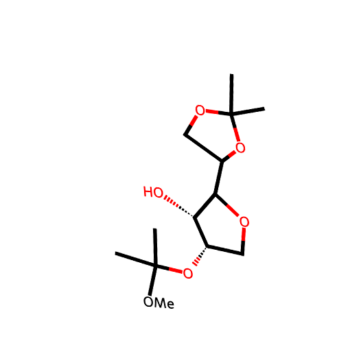 COC(C)(C)O[C@H]1COC(C2COC(C)(C)O2)[C@H]1O